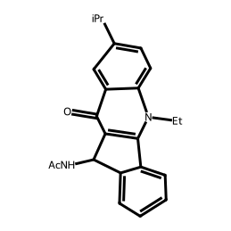 CCn1c2c(c(=O)c3cc(C(C)C)ccc31)C(NC(C)=O)c1ccccc1-2